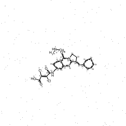 CNC.O=C(O)C(Cl)=C(Cl)C(=O)Nc1ccc2c(=O)n3c(nc2c1)C(=Cc1ccccc1)CC3